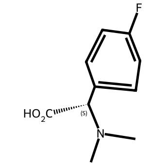 CN(C)[C@H](C(=O)O)c1ccc(F)cc1